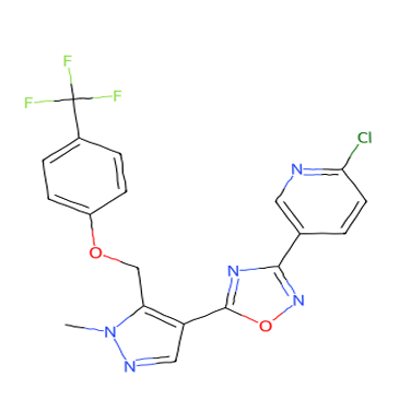 Cn1ncc(-c2nc(-c3ccc(Cl)nc3)no2)c1COc1ccc(C(F)(F)F)cc1